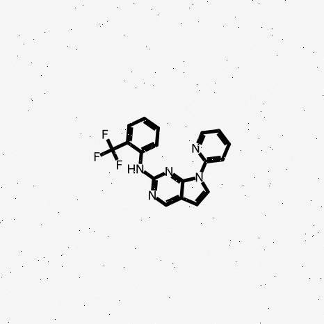 FC(F)(F)c1ccccc1Nc1ncc2ccn(-c3ccccn3)c2n1